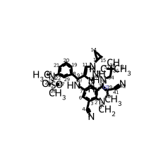 C=Nc1c(C#N)cc(N[C@H](C2=CN(C3CC3)NN2)c2cccc(N(C)S(C)(=O)=O)c2)cc1/C(NCC(C)(C)C)=C(\C)C#N